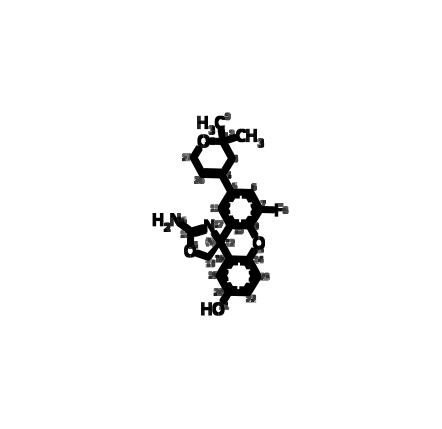 CC1(C)CC(c2cc(F)c3c(c2)[C@]2(COC(N)=N2)c2cc(O)ccc2O3)=CCO1